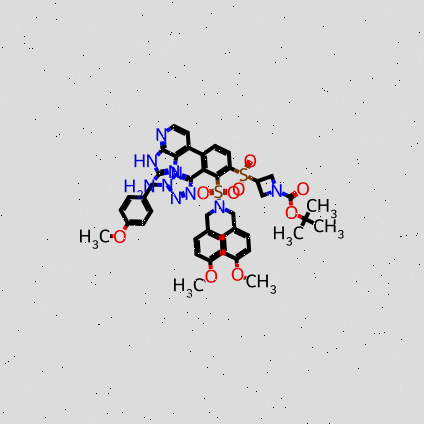 COc1ccc(CN(Cc2ccc(OC)cc2)S(=O)(=O)c2c(S(=O)(=O)C3CN(C(=O)OC(C)(C)C)C3)ccc(-c3ccnc4[nH]c(N)nc34)c2-c2nnn(Cc3ccc(OC)cc3)n2)cc1